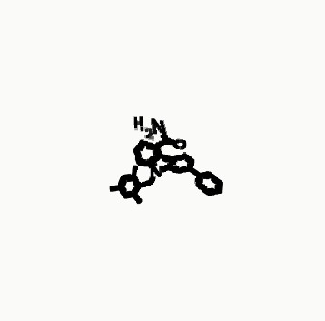 Cc1cc(C)c(Cn2c3cc(-c4ccccc4)c[c]c3c3c(C(N)=O)cccc32)c(C)c1